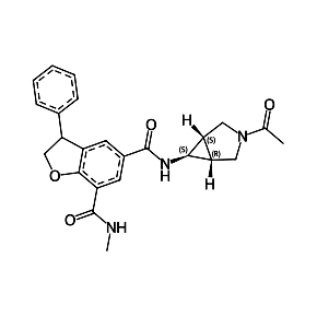 CNC(=O)c1cc(C(=O)N[C@H]2[C@@H]3CN(C(C)=O)C[C@@H]32)cc2c1OCC2c1ccccc1